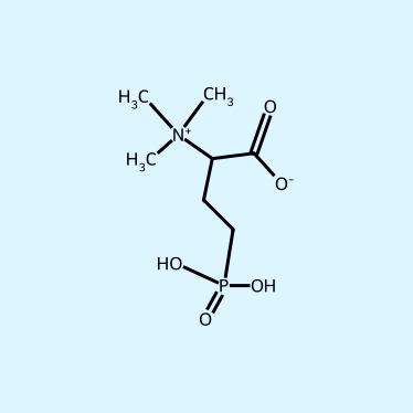 C[N+](C)(C)C(CCP(=O)(O)O)C(=O)[O-]